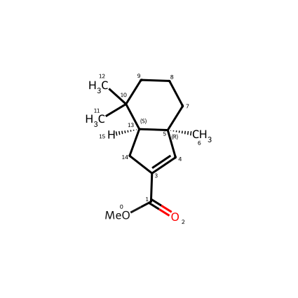 COC(=O)C1=C[C@]2(C)CCCC(C)(C)[C@@H]2C1